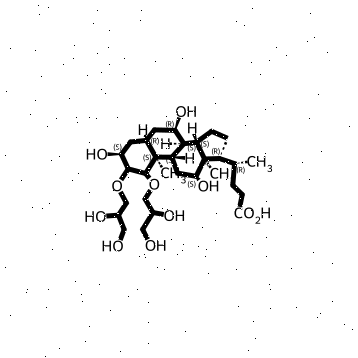 C[C@H](CCC(=O)O)[C@H]1CC[C@H]2[C@@H]3[C@H](O)C[C@@H]4C[C@H](O)C(OCC(O)CO)C(OCC(O)CO)[C@]4(C)[C@H]3C[C@H](O)[C@]12C